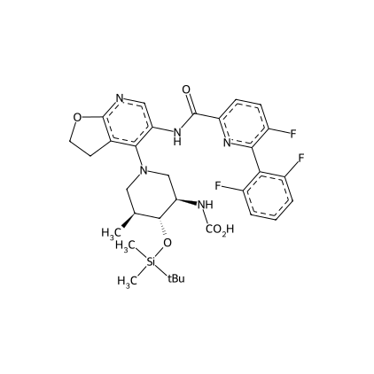 C[C@H]1CN(c2c(NC(=O)c3ccc(F)c(-c4c(F)cccc4F)n3)cnc3c2CCO3)C[C@@H](NC(=O)O)[C@@H]1O[Si](C)(C)C(C)(C)C